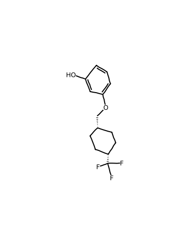 Oc1cccc(OC[C@H]2CC[C@@H](C(F)(F)F)CC2)c1